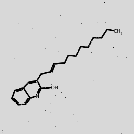 CCCCCCCCCC=CCc1cc2ccccc2nc1O